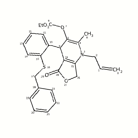 C=CCN1C(C)=C(OC(=O)OCC)C(c2ccccc2SCc2ccccc2)C2=C1COC2=O